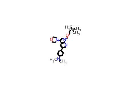 CN(C)c1ccc(-c2cnc3c(c2)c(N2CCOCC2)cn3COCC[Si](C)(C)C)cc1